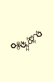 O=S(=O)(c1ccccc1)c1ccc(NC2C[C@@H]3CN(Cc4ccccn4)C[C@@H]3C2)nn1